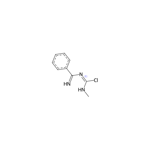 CN/C(Cl)=N\C(=N)c1ccccc1